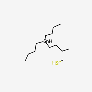 CCC[CH2][SnH]([CH2]CCC)[CH2]CCC.CS